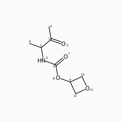 CC(=O)C(C)NC(=O)OC1COC1